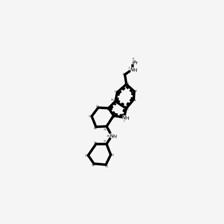 CC(C)NCc1ccc2[nH]c3c(c2c1)CCCC3NC1CCCCC1